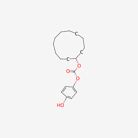 O=C(Oc1ccc(O)cc1)OC1CCCCCCCCCCC1